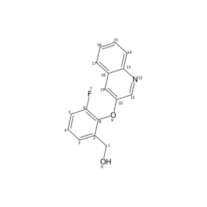 OCc1cccc(F)c1Oc1cnc2ccccc2c1